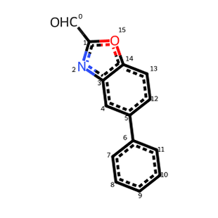 O=Cc1nc2cc(-c3ccccc3)ccc2o1